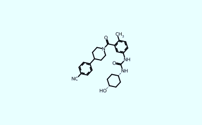 Cc1ccc(NC(=O)N[C@H]2CC[C@@H](O)CC2)cc1C(=O)N1CCC(c2ccc(C#N)cc2)CC1